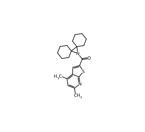 Cc1cc(C)c2cc(C(=O)N3C4(CCCCC4)C34CCCCC4)sc2n1